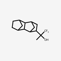 CC(O)(C1CC2CC1C1C3CCC(C3)C21)C(F)(F)F